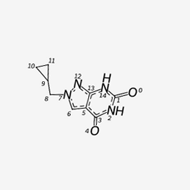 O=c1[nH]c(=O)c2cn(CC3CC3)nc2[nH]1